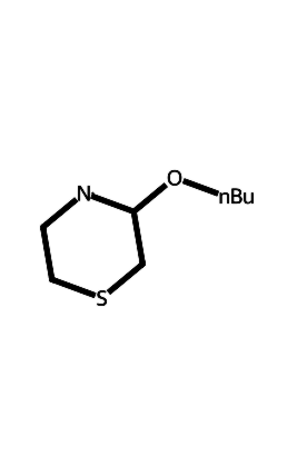 CCCCOC1CSCC[N]1